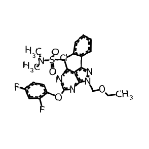 CCOCn1nc(-c2ccccc2Cl)c2c(CS(=O)(=O)N(C)C)nc(Oc3ccc(F)cc3F)nc21